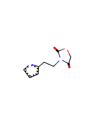 O=C1COC(=O)N1CCc1ccc[nH]1